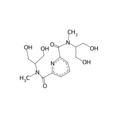 CN(C(=O)c1cccc(C(=O)N(C)C(CO)CO)n1)C(CO)CO